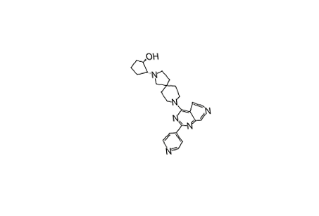 O[C@@H]1CCC[C@H]1N1CCC2(CCN(c3nc(-c4ccncc4)nc4cnccc34)CC2)C1